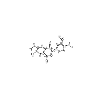 COc1ccc(NC(=O)c2cc3c(cc2[N+](=O)[O-])OCO3)cc1OC